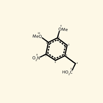 COc1cc(CC(=O)O)cc([N+](=O)[O-])c1OC